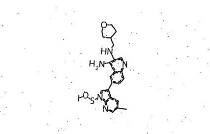 Cc1cnc2c(c1)c(-c1ccc3ncc(NCC4CCOCC4)c(N)c3c1)cn2SOI